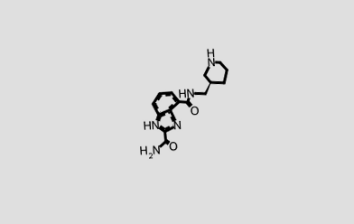 NC(=O)c1nc2c(C(=O)NC[C@@H]3CCCNC3)cccc2[nH]1